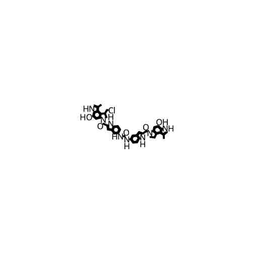 Cc1c[nH]c2c(O)cc3c(c12)CCN3C(=O)c1cc2cc(NC(=O)Nc3ccc4[nH]c(C(=O)N5CC(CCl)c6c5cc(O)c5[nH]cc(C)c65)cc4c3)ccc2[nH]1